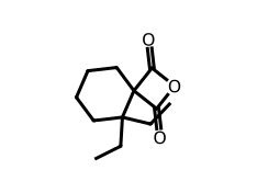 CCC1(CC)CCCCC12C(=O)OC2=O